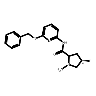 NN1C[C@H](F)CC1C(=O)Nc1cccc(OCc2ccccc2)n1